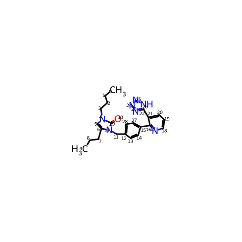 CCCCn1cc(CCC)n(Cc2ccc(-c3ncccc3-c3nnn[nH]3)cc2)c1=O